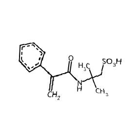 C=C(C(=O)NC(C)(C)CS(=O)(=O)O)c1ccccc1